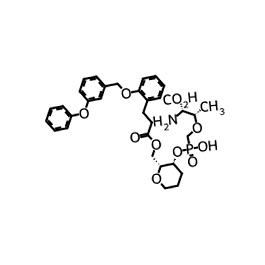 C[C@H](OCP(=O)(O)O[C@@H]1CCCO[C@@H]1COC(=O)CCc1ccccc1OCc1cccc(Oc2ccccc2)c1)[C@H](N)C(=O)O